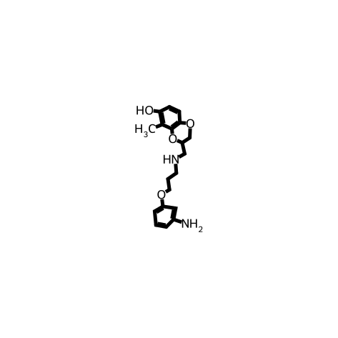 Cc1c(O)ccc2c1OC(CNCCCOc1cccc(N)c1)CO2